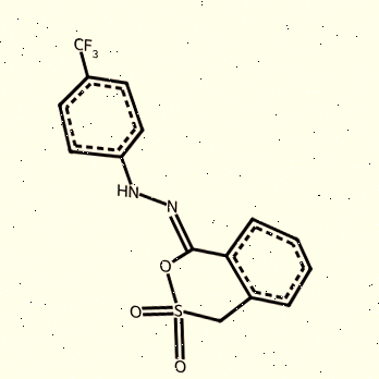 O=S1(=O)Cc2ccccc2C(=NNc2ccc(C(F)(F)F)cc2)O1